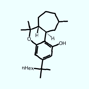 CCCCCCC(C)(C)c1cc(O)c2c(c1)OC(C)(C)[C@@H]1CCCC(C)C[C@@H]21